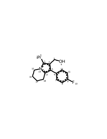 CC(C)c1c(CO)c(-c2ccc(F)cc2)c2n1CCCC2